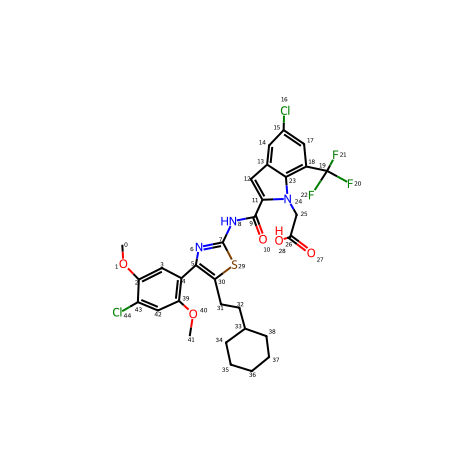 COc1cc(-c2nc(NC(=O)c3cc4cc(Cl)cc(C(F)(F)F)c4n3CC(=O)O)sc2CCC2CCCCC2)c(OC)cc1Cl